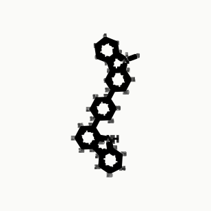 Cn1c2ccccc2c2cc(-c3ccc(-c4cccc5c4[nH]c4ccccc45)cc3)ccc21